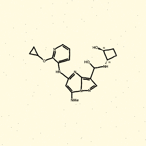 CNc1cc(Nc2cccnc2OC2CC2)nc2c(C(O)N[C@H]3CC[C@@H]3O)cnn12